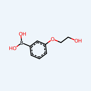 OCCOc1cccc(B(O)O)c1